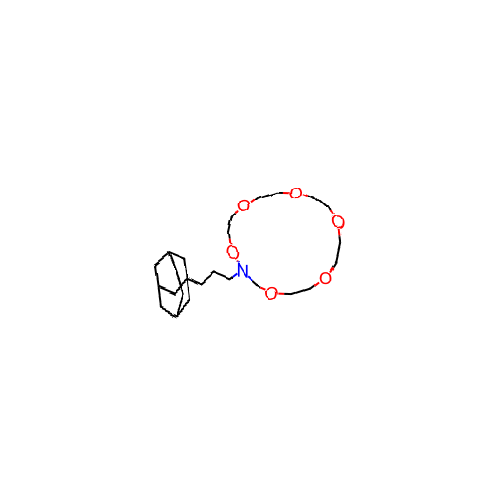 C(CN1COCCOCCOCCOCCOCCO1)CC12CC3CC(CC(C3)C1)C2